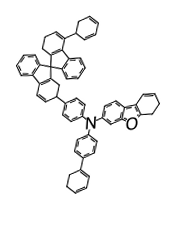 C1=CCCC(c2ccc(N(c3ccc(C4C=CC5=C(C4)C4(C6=C(C(C7C=CC=CC7)=CCC6)c6ccccc64)c4ccccc45)cc3)c3ccc4c5c(oc4c3)CCC=C5)cc2)=C1